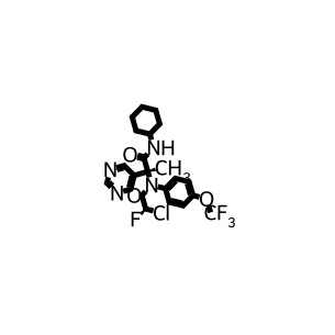 C[C@](C(=O)NC1CCCCC1)(c1cncnc1)N(C(=O)[C@H](F)Cl)c1ccc(OC(F)(F)F)cc1